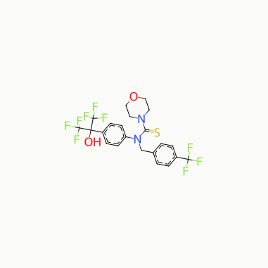 OC(c1ccc(N(Cc2ccc(C(F)(F)F)cc2)C(=S)N2CCOCC2)cc1)(C(F)(F)F)C(F)(F)F